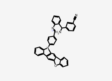 N#Cc1cccc(C(N)c2ccccc2/N=C/c2ccc(-n3c4ccccc4c4cc5oc6ccccc6c5cc43)cc2)c1